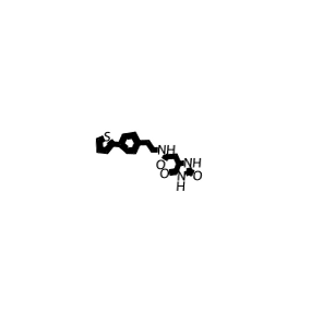 O=C(CC1NC(=O)NC1=O)NCCc1ccc(-c2cccs2)cc1